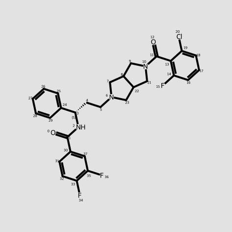 O=C(N[C@@H](CCN1CC2CN(C(=O)c3c(F)cccc3Cl)CC2C1)c1ccccc1)c1ccc(F)c(F)c1